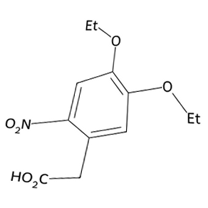 CCOc1cc(CC(=O)O)c([N+](=O)[O-])cc1OCC